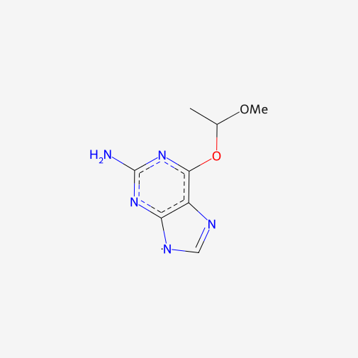 COC(C)Oc1nc(N)nc2c1N=C[N]2